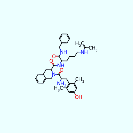 C=C(C)NCCCCC(NC(=O)C1Cc2ccccc2CN1C(=O)C(N)Cc1c(C)cc(O)cc1C)C(=O)NCc1ccccc1